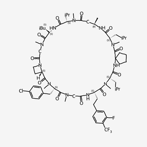 CC[C@H](C)[C@@H]1NC(=O)[C@H](C(C)C)N(C)C(=O)C[C@@H](C)NC(=O)[C@H](CC(C)C)N(C)C(=O)C2(CCCC2)NC(=O)[C@H](CC(C)C)N(C)C(=O)[C@H](CCc2ccc(C(F)(F)F)c(F)c2)NC(=O)CN(C)C(=O)[C@H](Cc2ccc(Cl)cc2)N(C)C(=O)[C@@H]2CCN2C(=O)CN(C)C1=O